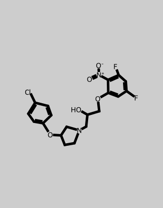 O=[N+]([O-])c1c(F)cc(F)cc1OCC(O)CN1CCC(Oc2ccc(Cl)cc2)C1